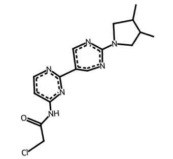 CC1CN(c2ncc(-c3nccc(NC(=O)CCl)n3)cn2)CC1C